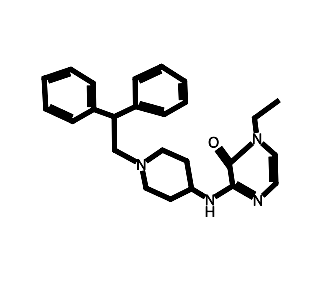 CCn1ccnc(NC2CCN(CC(c3ccccc3)c3ccccc3)CC2)c1=O